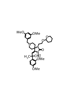 CCN1C(=O)N(CCOC2CCCCO2)C2(CCN(Cc3cc(OC)cc(OC)c3)CC2)/C1=C/C(C)(C)c1ccc(OC)cc1OC